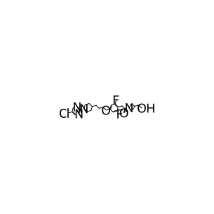 O=C(Cc1c(F)cc(OCCCC2CCN(c3ncc(Cl)cn3)CC2)cc1F)N1CC(CO)C1